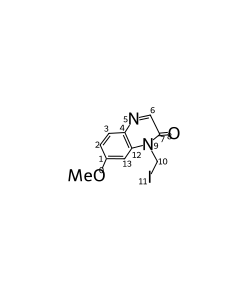 COc1ccc2ncc(=O)n(CI)c2c1